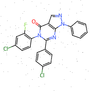 O=c1c2cnn(-c3ccccc3)c2nc(-c2ccc(Cl)cc2)n1-c1ccc(Cl)cc1F